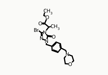 CCOC(=O)C(C)n1c(Br)nn(Cc2ccc(CN3CCOCC3)cc2)c1=O